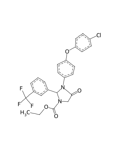 CCOC(=O)N1CC(=O)N(c2ccc(Oc3ccc(Cl)cc3)cc2)C1c1cccc(C(F)(F)F)c1